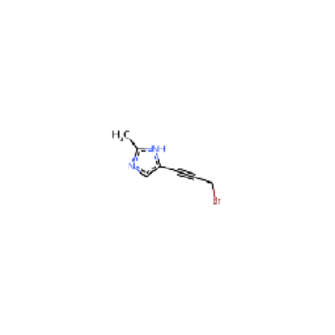 Cc1ncc(C#CCBr)[nH]1